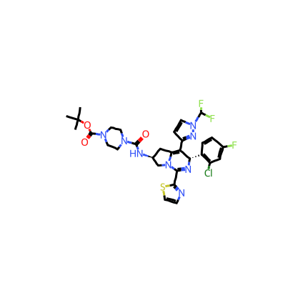 CC(C)(C)OC(=O)N1CCN(C(=O)N[C@H]2CC3=C(c4ccn(C(F)F)n4)[C@H](c4ccc(F)cc4Cl)N=C(c4nccs4)N3C2)CC1